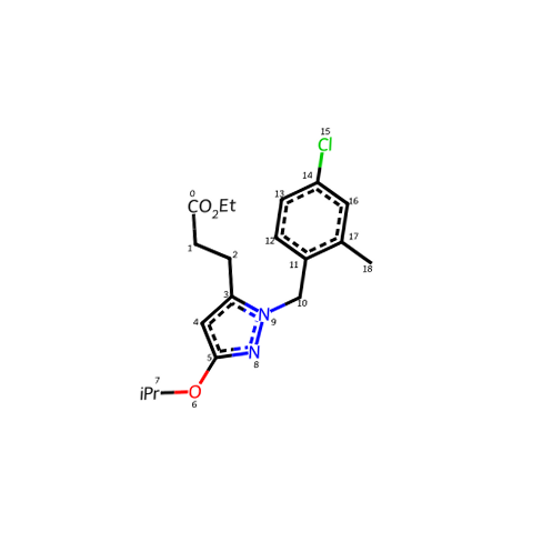 CCOC(=O)CCc1cc(OC(C)C)nn1Cc1ccc(Cl)cc1C